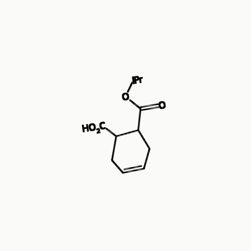 CC(C)OC(=O)C1CC=CCC1C(=O)O